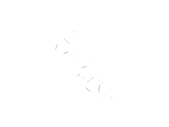 CC1(C)Cc2cccc(OCC(=O)Nc3ccc(C(F)(F)F)nc3)c2O1